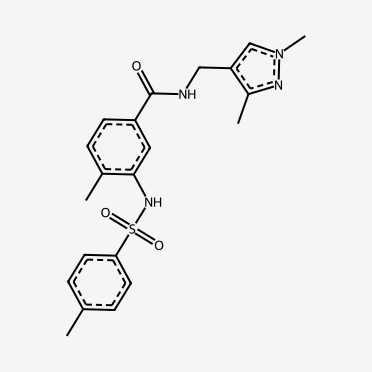 Cc1ccc(S(=O)(=O)Nc2cc(C(=O)NCc3cn(C)nc3C)ccc2C)cc1